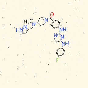 CN(Cc1cc[nH]n1)C1CCN(C(=O)c2ccc(Nc3nccc(Nc4ccc(F)cc4)n3)cc2)CC1